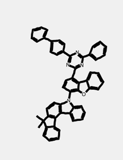 CC1(C)c2ccccc2-c2c1ccc1c2c2ccccc2n1-c1ccc(-c2nc(-c3ccccc3)nc(-c3ccc(-c4ccccc4)cc3)n2)c2c1oc1ccccc12